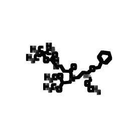 COC[C@H](CCN(CC(OC)OC)C(=O)CCNC(=O)OC(C)(C)C)OCc1ccccc1